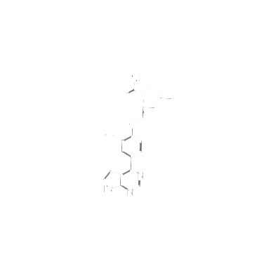 CC(C)C[C@@](C)(COc1ccc(-c2ncnc3[nH]ccc23)cc1Cl)OC(N)=O